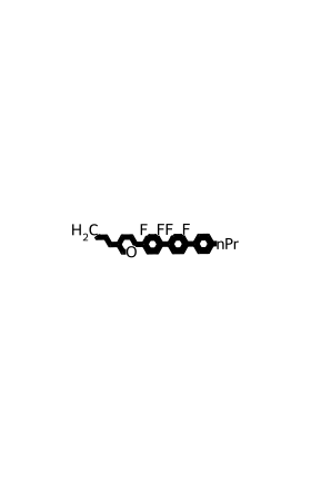 C=CCCC1CCC(c2ccc(-c3ccc(-c4ccc(CCC)cc4)c(F)c3F)c(F)c2F)OC1